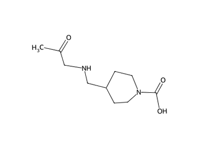 CC(=O)CNCC1CCN(C(=O)O)CC1